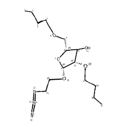 CCCCOC[C@H]1O[C@@H](OCCN=[N+]=[N-])[C@@H](OCCCC)C1O